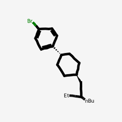 CCCCC(CC)C[C@H]1CC[C@H](c2ccc(Br)cc2)CC1